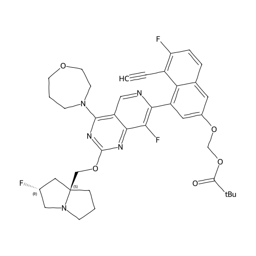 C#Cc1c(F)ccc2cc(OCOC(=O)C(C)(C)C)cc(-c3ncc4c(N5CCCOCC5)nc(OC[C@@]56CCCN5C[C@H](F)C6)nc4c3F)c12